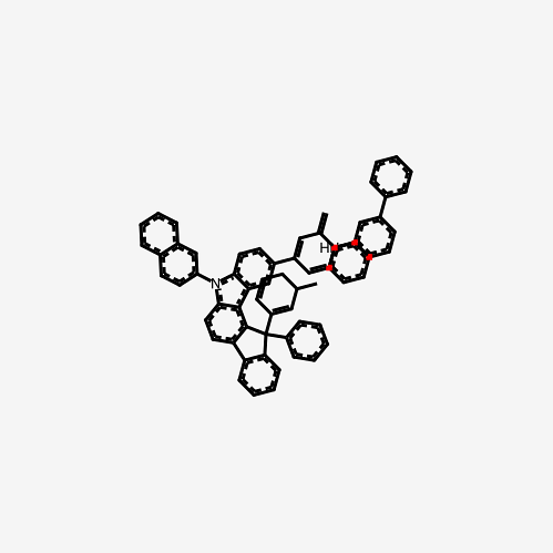 C=C(/C=C(\C=C/Nc1cccc(-c2ccccc2)c1)c1ccc2c(c1)c1c3c(ccc1n2-c1ccc2ccccc2c1)-c1ccccc1C3(C1=CC(C)CC=C1)c1ccccc1)c1ccccc1